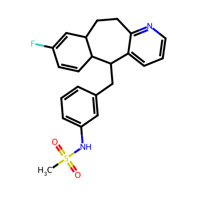 CS(=O)(=O)Nc1cccc(CC2c3cccnc3CCC3C=C(F)C=CC32)c1